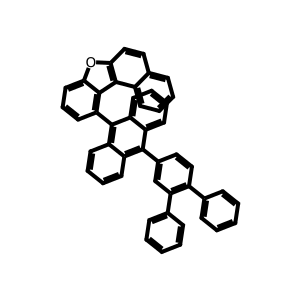 c1ccc(-c2ccc(-c3c4ccccc4c(-c4cccc5oc6ccc7ccccc7c6c45)c4ccccc34)cc2-c2ccccc2)cc1